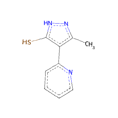 Cc1n[nH]c(S)c1-c1ccccn1